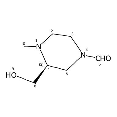 CN1CCN(C=O)C[C@H]1CO